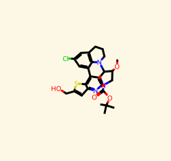 COC1CN(C(=O)OC(C)(C)C)CC1N1CCCc2cc(Cl)cc(-c3ccnc4cc(CO)sc34)c21